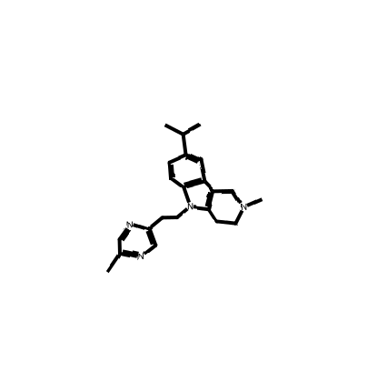 Cc1cnc(CCn2c3c(c4cc(C(C)C)ccc42)CN(C)CC3)cn1